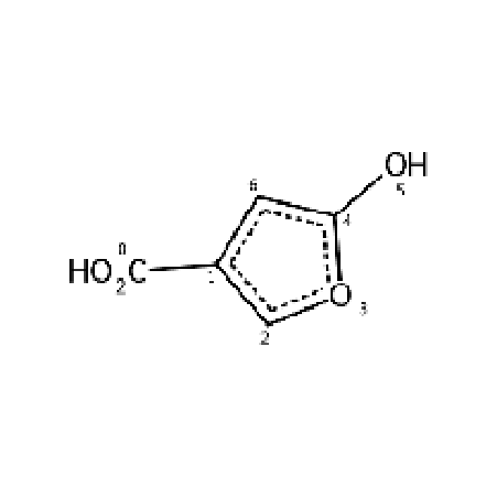 O=C(O)c1coc(O)c1